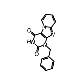 O=c1[nH]c(=O)n(Cc2ccccc2)c2nc3ccccn3c12